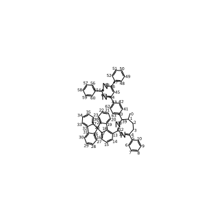 CC1CC/C(c2ccccc2)=N\C(c2cccc3c2-c2ccccc2C32c3ccccc3-c3ccccc32)=N/C1c1ccc(-c2cc(-c3ccccc3)nc(-c3ccccc3)n2)cc1